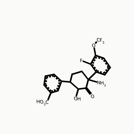 NC1(c2cccc(OC(F)(F)F)c2F)CCC(c2cccc(C(=O)O)c2)C(O)C1=O